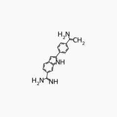 C=C(N)c1ccc(-c2cc3ccc(C(=N)N)cc3[nH]2)cc1